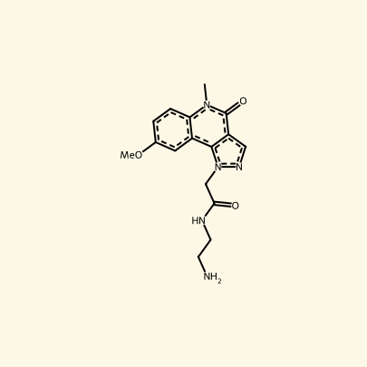 COc1ccc2c(c1)c1c(cnn1CC(=O)NCCN)c(=O)n2C